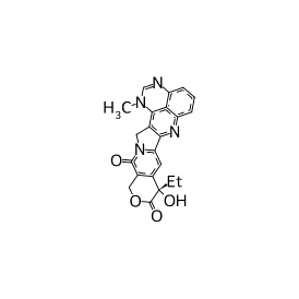 CC[C@@]1(O)C(=O)OCc2c1cc1n(c2=O)Cc2c-1nc1cccc3c1c2N(C)C=N3